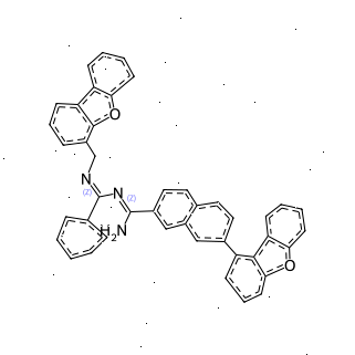 N/C(=N\C(=N/Cc1cccc2c1oc1ccccc12)c1ccccc1)c1ccc2ccc(-c3cccc4oc5ccccc5c34)cc2c1